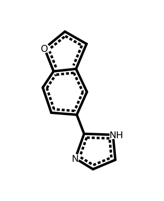 c1c[nH]c(-c2ccc3occc3c2)n1